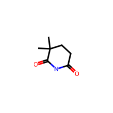 CC1(C)CCC(=O)[N]C1=O